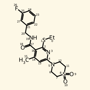 CCSc1nc(N2CCS(=O)(=O)CC2)cc(C)c1C(=O)NCc1cccc(F)c1